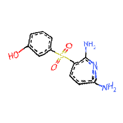 Nc1ccc(S(=O)(=O)c2cccc(O)c2)c(N)n1